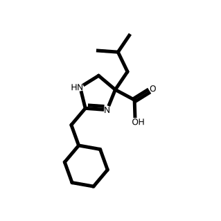 CC(C)CC1(C(=O)O)CNC(CC2CCCCC2)=N1